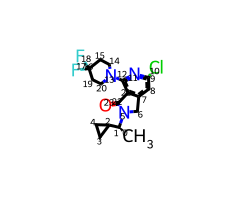 C[C@@H](C1CC1)N1Cc2cc(Cl)nc(N3CCC(F)(F)CC3)c2C1=O